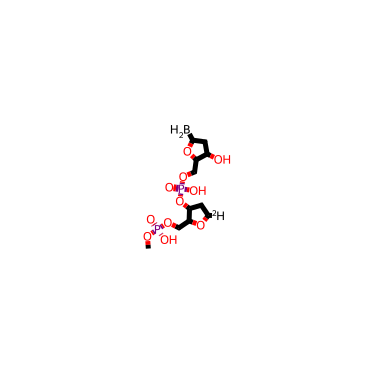 [2H]C1CC(OP(=O)(O)OCC2OC(B)CC2O)C(COP(=O)(O)OC)O1